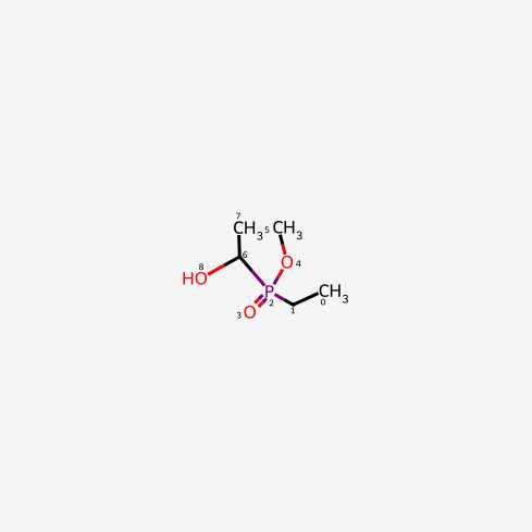 CCP(=O)(OC)C(C)O